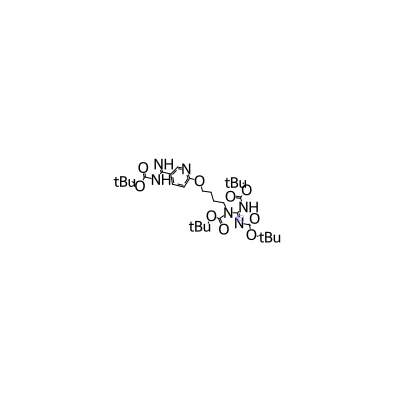 CC(C)(C)OC(=O)/N=C(\NC(=O)OC(C)(C)C)N(CCCCOc1ccc(C(=N)NC(=O)OC(C)(C)C)cn1)C(=O)OC(C)(C)C